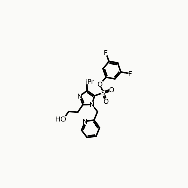 CC(C)c1nc(CCO)n(Cc2ccccn2)c1S(=O)(=O)Oc1cc(F)cc(F)c1